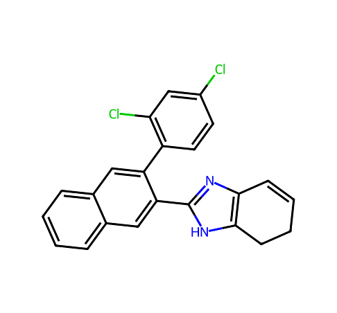 Clc1ccc(-c2cc3ccccc3cc2-c2nc3c([nH]2)CCC=C3)c(Cl)c1